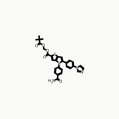 CC(C)(C)C(=O)OCOC(=O)c1cc2c(cc(-c3ccc(-n4ccnc4)cc3)n2-c2ccc(C(N)=O)cc2)s1